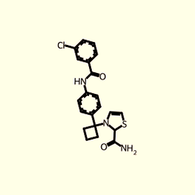 NC(=O)C1SC=CN1C1(c2ccc(NC(=O)c3cccc(Cl)c3)cc2)CCC1